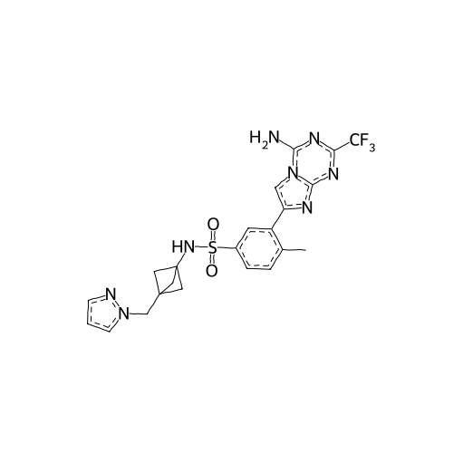 Cc1ccc(S(=O)(=O)NC23CC(Cn4cccn4)(C2)C3)cc1-c1cn2c(N)nc(C(F)(F)F)nc2n1